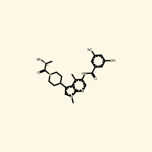 Cc1c(NC(=O)c2cc(O)cc(C#N)c2)cnc2c1c(C1CCN(C(=O)[C@H](C)C(C)(C)C)CC1)cn2C